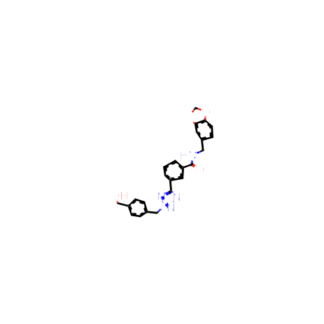 O=C(NCc1ccc2c(c1)OCO2)c1cccc(-c2nnn(Cc3ccc(CO)cc3)n2)c1